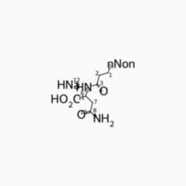 CCCCCCCCCCCC(=O)NC(CC(N)=O)C(=O)O.[NaH]